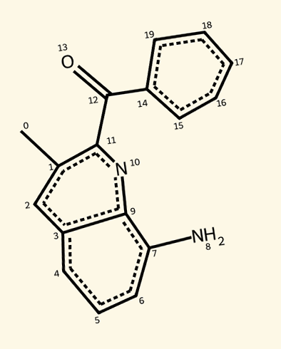 Cc1cc2cccc(N)c2nc1C(=O)c1ccccc1